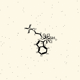 C[Si](C)(C)OCC[O][Ti]([CH3])(=[O])([SiH3])([Cl])([Cl])[CH]1C=Cc2ccccc21